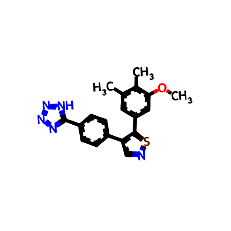 COc1cc(-c2sncc2-c2ccc(-c3nnn[nH]3)cc2)cc(C)c1C